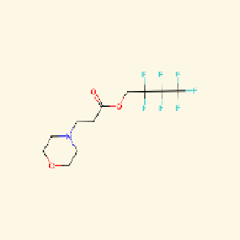 O=C(CCN1CCOCC1)OCC(F)(F)C(F)(F)C(F)(F)F